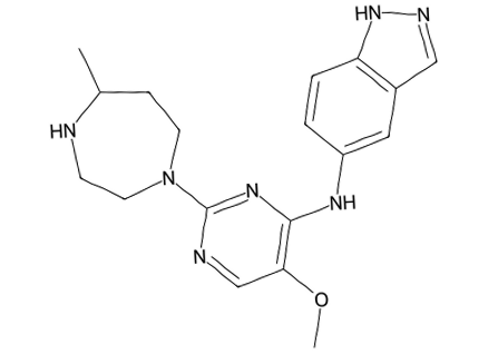 COc1cnc(N2CCNC(C)CC2)nc1Nc1ccc2[nH]ncc2c1